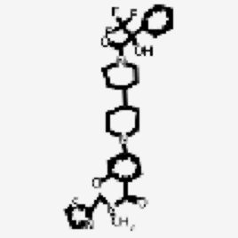 CN(Cc1nccs1)C(=O)c1ccc(N2CCC(C3CCN(C(=O)C(O)(c4ccccc4)C(F)(F)F)CC3)CC2)cc1Cl